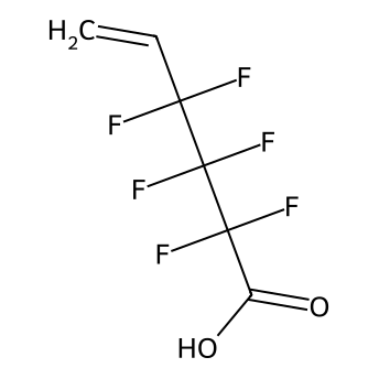 C=CC(F)(F)C(F)(F)C(F)(F)C(=O)O